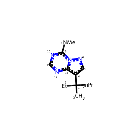 CCCC(C)(CC)c1cnn2c(NC)ncnc12